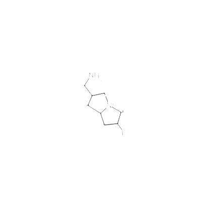 NCC1CC2CC(F)CN2C1